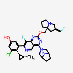 C[C@H]1C[C@H]1c1c(Cl)cc(O)cc1-c1ncc2c(N3CC4CCC(C3)N4)nc(OC[C@@]34CCCN3C/C(=C\F)C4)nc2c1F